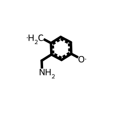 [CH2]c1ccc([O])cc1CN